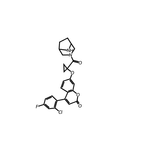 O=C(N1CC2CCC(C1)N2)C1(Oc2ccc3c(-c4ccc(F)cc4Cl)cc(=O)oc3c2)CC1